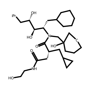 CC(C)C[C@H](O)[C@H](O)[C@H](CC1CCCCC1)N(CC1(O)CCCCC1)C(=O)[C@@H](CC(=O)NCCO)CC1CC1